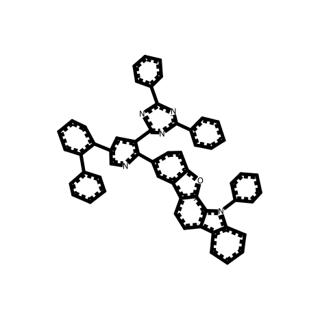 c1ccc(-c2nc(-c3ccccc3)nc(-c3cc(-c4ccccc4-c4ccccc4)cnc3-c3ccc4oc5c(ccc6c7ccccc7n(-c7ccccc7)c65)c4c3)n2)cc1